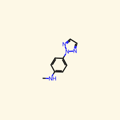 CNc1ccc(-n2nccn2)cc1